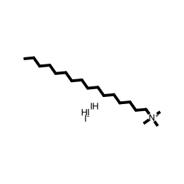 CCCCCCCCCCCCCCCC[N+](C)(C)C.I.I.[I-]